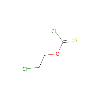 S=C(Cl)OCCCl